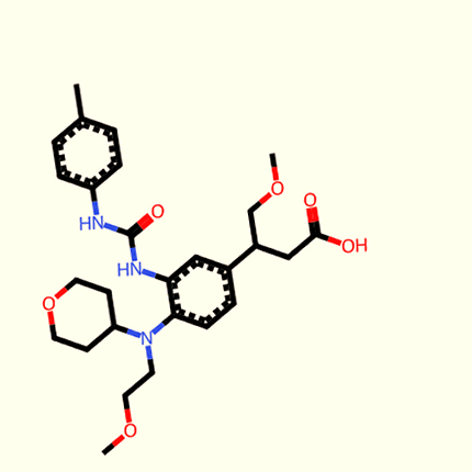 COCCN(c1ccc(C(COC)CC(=O)O)cc1NC(=O)Nc1ccc(C)cc1)C1CCOCC1